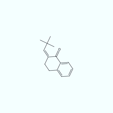 CC(C)(C)C=C1CCc2ccccc2C1=O